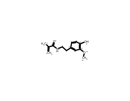 C=C(C)C(=O)NCCc1ccc(O)c(OC)c1